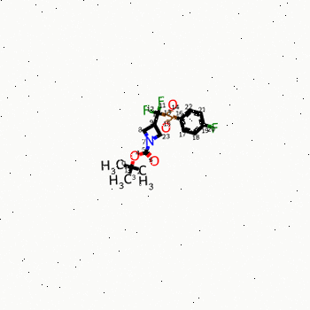 CC(C)(C)OC(=O)N1CC(C(F)(F)S(=O)(=O)c2ccc(F)cc2)C1